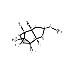 CO[C@@H]1C[C@H]2[C@H]3CC[C@@](C)([C@H]2O1)C3(C)C